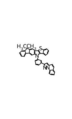 CC1(C)c2ccccc2-c2cc3c(cc21)c1sc2ccccc2c1n3-c1cccc(-c2cc3ccc4ccccc4n3n2)c1